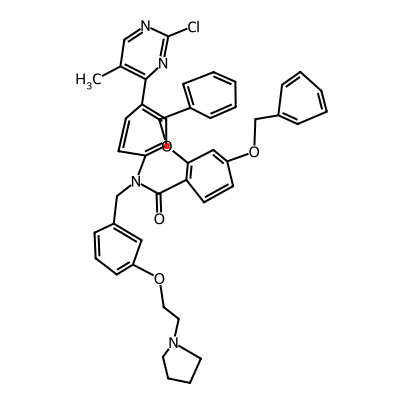 Cc1cnc(Cl)nc1-c1ccc(N(Cc2cccc(OCCN3CCCC3)c2)C(=O)c2ccc(OCc3ccccc3)cc2OCc2ccccc2)cc1